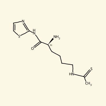 CC(=S)NCCCC[C@H](N)C(=O)Nc1nccs1